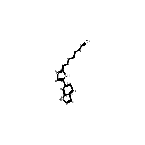 O=CCCCCCCc1ncc(-c2ccc3cc[nH]c3c2)[nH]1